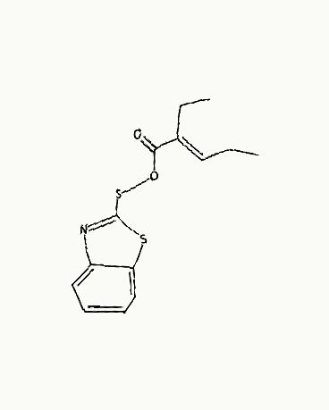 CCC=C(CC)C(=O)OSc1nc2ccccc2s1